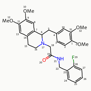 COc1ccc(CC2c3cc(OC)c(OC)cc3CCN2CC(=O)NCc2ccccc2F)cc1OC